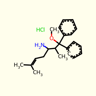 COC(c1ccccc1)(c1ccccc1)C(C)C(N)CC=C(C)C.Cl